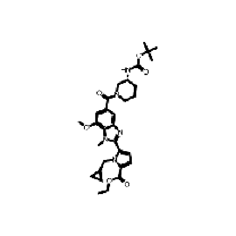 CCOC(=O)c1ccc(-c2nc3cc(C(=O)N4CCC[C@@H](NC(=O)OC(C)(C)C)C4)cc(OC)c3n2C)n1CC1CC1